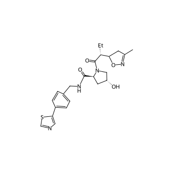 CC[C@@H](C(=O)N1C[C@H](O)C[C@H]1C(=O)NCc1ccc(-c2cncs2)cc1)C1CC(C)=NO1